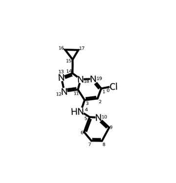 Clc1cc(Nc2ccccn2)c2nnc(C3CC3)n2n1